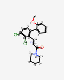 COc1ccccc1-c1c[c]c(Cl)c(Cl)c1/C=C/C(=O)N1CCCCC1